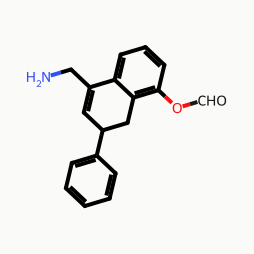 NCC1=CC(c2ccccc2)Cc2c(OC=O)cccc21